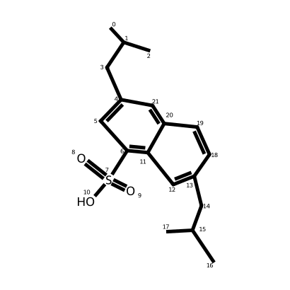 CC(C)Cc1cc(S(=O)(=O)O)c2cc(CC(C)C)ccc2c1